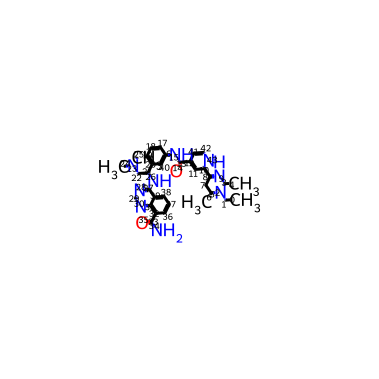 CCN(CC)C(C)CC(=N)c1cc(C(=O)Nc2cccc(C(CN(C)C)Nc3ncnc4c(C(N)=O)cccc34)c2)ccn1